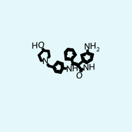 Nc1ccc2c(c1)/C(=C(/Nc1ccc(CN3CCC(O)CC3)cc1)c1ccccc1)C(=O)N2